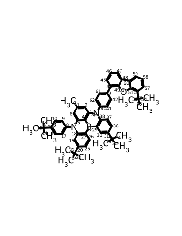 Cc1cc2c3c(c1)N(c1ccc(C(C)(C)C)cc1)c1cc(C(C)(C)C)ccc1B3c1cc(C(C)(C)C)ccc1N2c1ccc(-c2cccc3c2oc2c(C(C)(C)C)cccc23)cc1